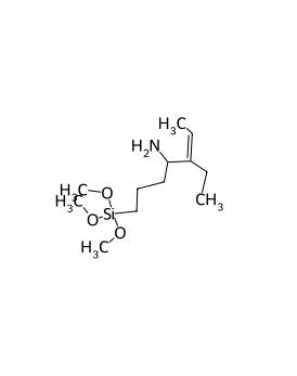 CC=C(CC)C(N)CCC[Si](OC)(OC)OC